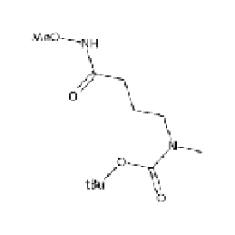 CONC(=O)CCCN(C)C(=O)OC(C)(C)C